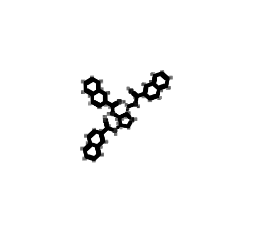 O=C(OC[C@@H]1OC[C@H](OC(=O)c2ccc3ccccc3c2)[C@H]1OC(=O)c1ccc2ccccc2c1)c1ccc2ccccc2c1